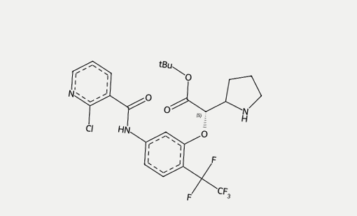 CC(C)(C)OC(=O)[C@@H](Oc1cc(NC(=O)c2cccnc2Cl)ccc1C(F)(F)C(F)(F)F)C1CCCN1